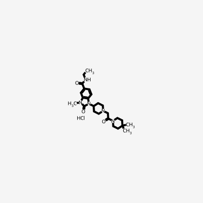 CCNC(=O)c1ccc2c(c1)n(C)c(=O)n2C1CCN(CC(=O)N2CCC(C)(C)CC2)CC1.Cl